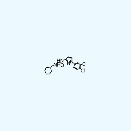 O=C(CNCC1CCCCC1)Nc1ccn(-c2ccc(Cl)c(Cl)c2)n1